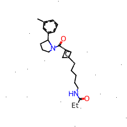 CCC(=O)NCCCCCC12CC(C(=O)N3CCCC3c3cccc(C)c3)(C1)C2